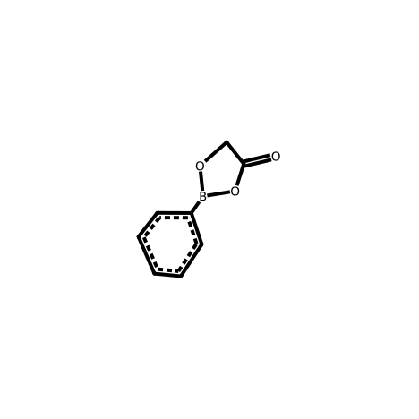 O=C1COB(c2ccccc2)O1